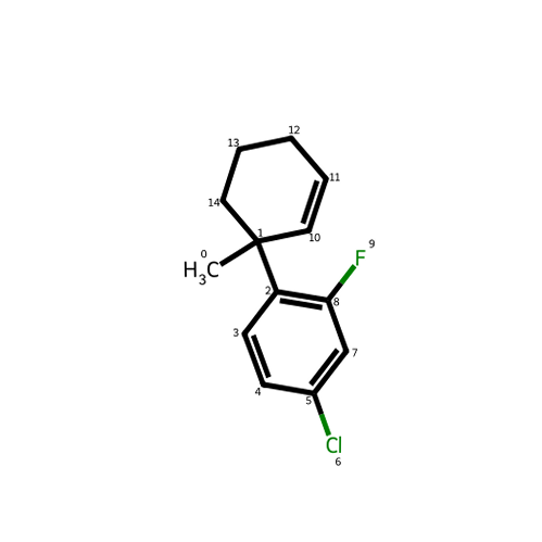 CC1(c2ccc(Cl)cc2F)C=CCCC1